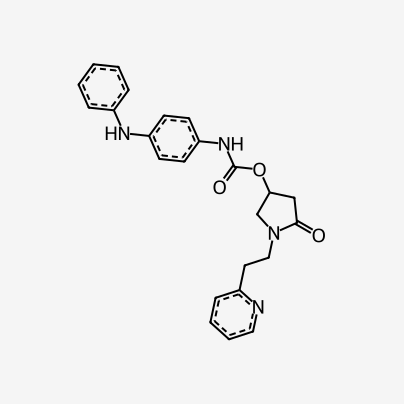 O=C(Nc1ccc(Nc2ccccc2)cc1)OC1CC(=O)N(CCc2ccccn2)C1